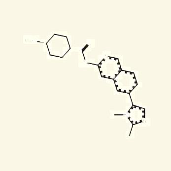 CO[C@H]1CC[C@H](C(=O)Nc2cc3cc(-c4cnc(C)n4C)ccc3cn2)CC1